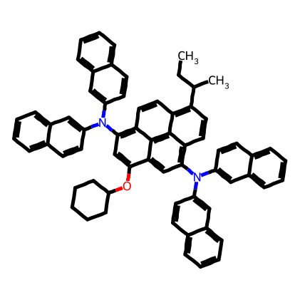 CCC(C)c1ccc2c(N(c3ccc4ccccc4c3)c3ccc4ccccc4c3)cc3c(OC4CCCCC4)cc(N(c4ccc5ccccc5c4)c4ccc5ccccc5c4)c4ccc1c2c34